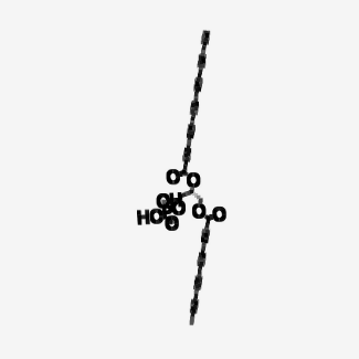 C#CC#CC#CC#CC#CC#CC(=O)O[C@H](COC(=O)C#CC#CC#CC#CC)COP(=O)(O)O